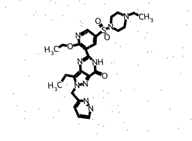 CCOc1ncc(S(=O)(=O)N2CCN(CC)CC2)cc1-c1nc2c(CC)n(Cc3cccnn3)nc2c(=O)[nH]1